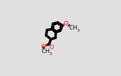 COC(=O)C1CCc2ccc(OC)cc2C1